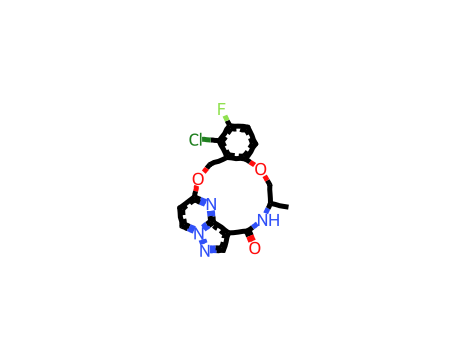 CC1COc2ccc(F)c(Cl)c2COc2ccn3ncc(c3n2)C(=O)N1